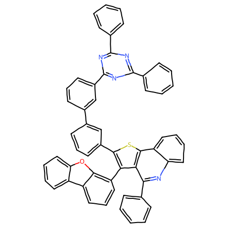 c1ccc(-c2nc(-c3ccccc3)nc(-c3cccc(-c4cccc(-c5sc6c(c(-c7ccccc7)nc7ccccc76)c5-c5cccc6c5oc5ccccc56)c4)c3)n2)cc1